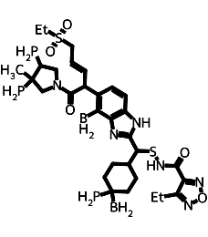 Bc1c(C(C=CCS(=O)(=O)CC)C(=O)N2CC(P)C(C)(P)C2)ccc2[nH]c(C(SNC(=O)c3nonc3CC)C3CCC(B)(P)CC3)nc12